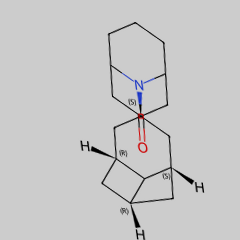 O=C1CC2CCCC(C1)N2[C@@H]1C[C@H]2C[C@H]3C[C@@H](C1)C32